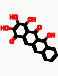 O=C1C2=Cc3cc4ccccc4c(O)c3C(=O)C2=C(O)C(O)=C1O